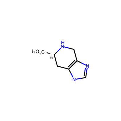 O=C(O)[C@H]1CC2=C(CN1)N=C[N]2